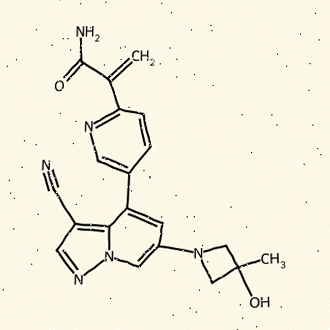 C=C(C(N)=O)c1ccc(-c2cc(N3CC(C)(O)C3)cn3ncc(C#N)c23)cn1